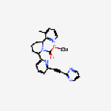 Cc1cccnc1C1CCCC(c2cccc(C#Cc3ncccn3)n2)N1C(=O)OC(C)(C)C